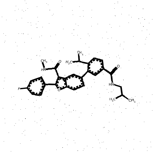 CNC(=O)c1c(-c2ccc(F)cc2)oc2ccc(-c3cc(C(=O)NCC(C)C)ccc3C(C)C)cc12